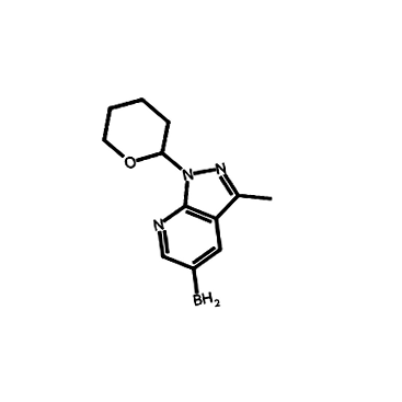 Bc1cnc2c(c1)c(C)nn2C1CCCCO1